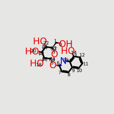 OC[C@H]1O[C@@H](Oc2ccc3cccc(O)c3n2)[C@H](O)[C@@H](O)[C@@H]1O